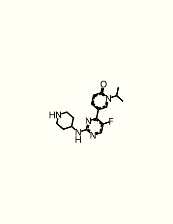 CC(C)n1cc(-c2nc(NC3CCNCC3)ncc2F)ccc1=O